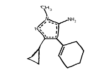 Cn1nc(C2CC2)c(C2=CCCCC2)c1N